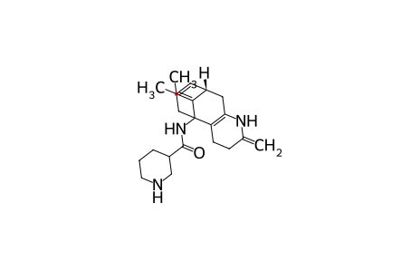 C=C1CCC2=C(C[C@H]3C=C(C)CC2(NC(=O)C2CCCNC2)/C3=C/C)N1